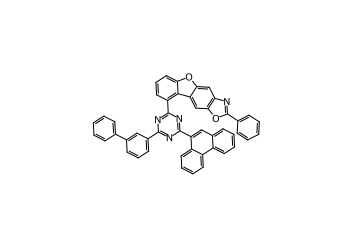 c1ccc(-c2cccc(-c3nc(-c4cc5ccccc5c5ccccc45)nc(-c4cccc5oc6cc7nc(-c8ccccc8)oc7cc6c45)n3)c2)cc1